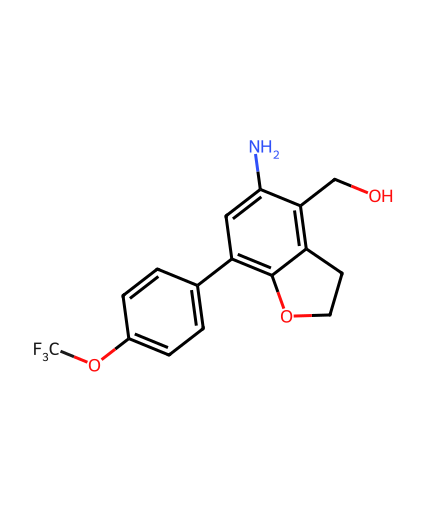 Nc1cc(-c2ccc(OC(F)(F)F)cc2)c2c(c1CO)CCO2